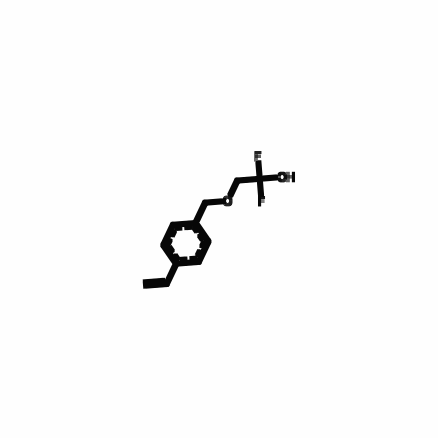 C=Cc1ccc(COCC(O)(F)F)cc1